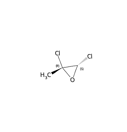 C[C@]1(Cl)O[C@H]1Cl